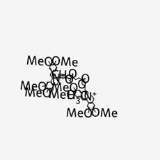 COc1ccc(CC2c3cc(OC)c(OC)cc3CC[N+]2(C)CCCOC(=O)CCC(=O)OCCC[N+]2(C)CCc3cc(OC)c(OC)cc3C2Cc2ccc(OC)c(OC)c2)cc1OC